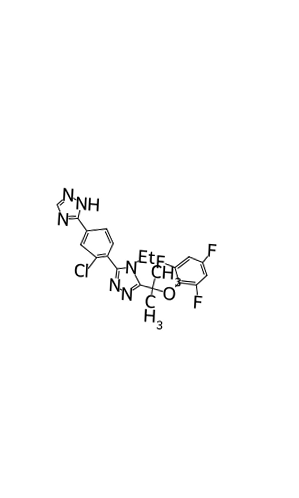 CCn1c(-c2ccc(-c3ncn[nH]3)cc2Cl)nnc1C(C)(C)Oc1c(F)cc(F)cc1F